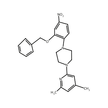 Cc1cc(C)nc(N2CCN(c3ccc([N+](=O)[O-])cc3OCc3ccccc3)CC2)c1